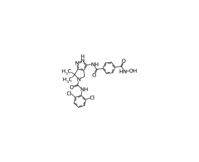 CC1(C)c2n[nH]c(NC(=O)c3ccc(C(=O)NO)cc3)c2CN1C(=O)Nc1c(Cl)cccc1Cl